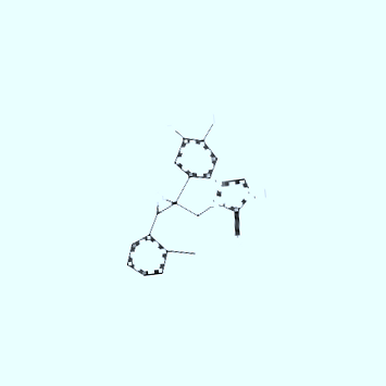 Cc1ccccc1C1OC1(Cn1nc[nH]c1=S)c1ccc(F)c(F)c1